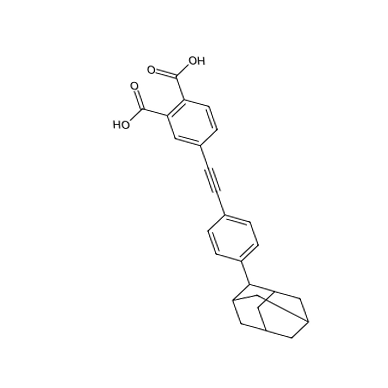 O=C(O)c1ccc(C#Cc2ccc(C3C4CC5CC(C4)CC3C5)cc2)cc1C(=O)O